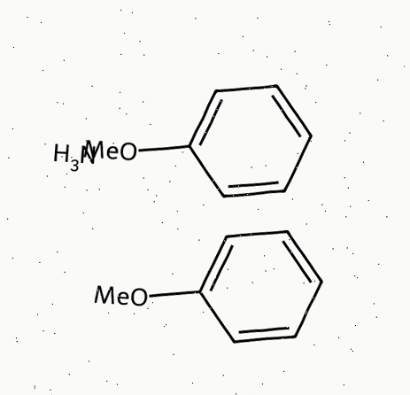 COc1ccccc1.COc1ccccc1.N